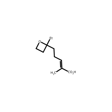 CCC1(CCC=C(C)C(=O)O)CCO1